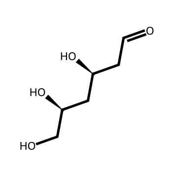 O=CC[C@H](O)C[C@H](O)CO